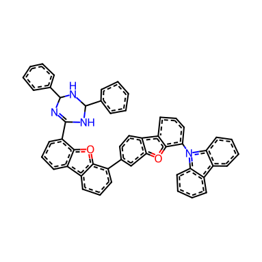 c1ccc(C2N=C(c3cccc4c3oc3c(-c5ccc6c(c5)oc5c(-n7c8ccccc8c8ccccc87)cccc56)cccc34)NC(c3ccccc3)N2)cc1